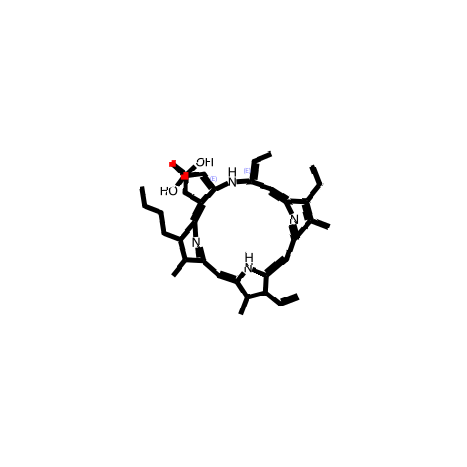 C=CC1c2cc3nc(c/c(=C\C)[nH]/c(=C/C(C)O)c(CC(C)O)c4nc(cc([nH]2)C1C)C(C)C4CCCC)C(CC)=C3C